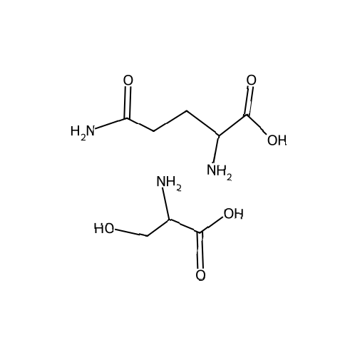 NC(=O)CCC(N)C(=O)O.NC(CO)C(=O)O